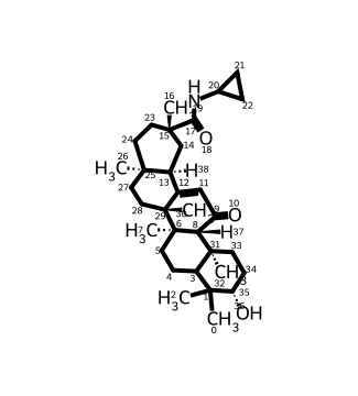 CC1(C)C2CC[C@]3(C)[C@H](C(=O)C=C4[C@@H]5C[C@@](C)(C(=O)NC6CC6)CC[C@]5(C)CC[C@]43C)[C@@]2(C)CC[C@@H]1O